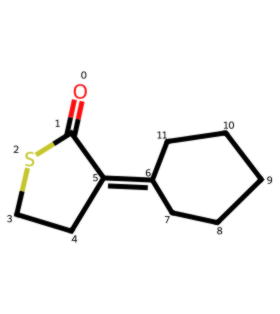 O=C1SCCC1=C1CCCCC1